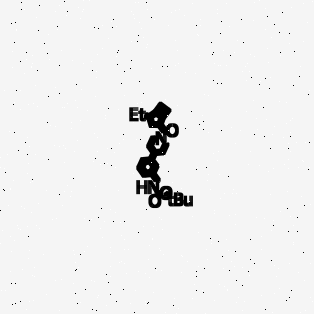 CCC1CC(C(=O)N2CCC(c3cccc(CNC(=O)OC(C)(C)C)c3)CC2)C2C=CC12